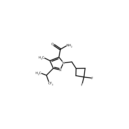 Cc1c(C(C)C(F)(F)F)nn(CC2CC(F)(F)C2)c1C(N)=O